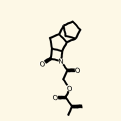 C=C(C)C(=O)OCC(=O)N1C(=O)C2CC3C4CCC(C4)C3C21